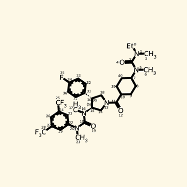 CCN(C)C(=O)N(C)C1CCC(C(=O)N2C[C@@H](N(C)C(=O)N(C)c3cc(C(F)(F)F)cc(C(F)(F)F)c3)[C@H](c3ccc(F)cc3)C2)CC1